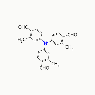 Cc1cc(N(c2ccc(C=O)c(C)c2)c2ccc(C=O)c(C)c2)ccc1C=O